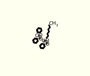 CCCCCCCCOS(=O)(=O)c1ccccc1.O=S(=O)(Oc1ccccc1)c1ccccc1